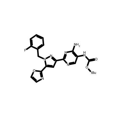 CC(C)(C)OC(=O)Nc1cnc(-c2cc(-c3ncco3)n(Cc3ccccc3F)n2)nc1N